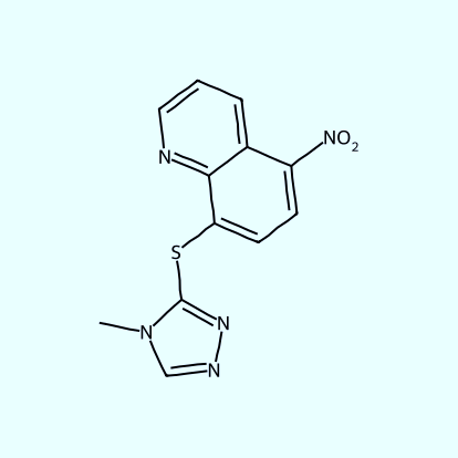 Cn1cnnc1Sc1ccc([N+](=O)[O-])c2cccnc12